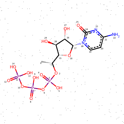 C[C@@H](OP(=O)(O)OP(=O)(O)OP(=O)(O)O)[C@H]1O[C@@H](n2ccc(N)nc2=O)[C@@H](O)[C@@H]1O